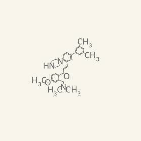 COc1ccc(C(=O)C=Cc2cc(-c3cc(C)cc(C)c3)ccc2N2CCNCC2)c(CN(C)C)c1